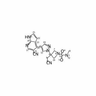 CN(C)S(=O)(=O)N1CC(CC#N)(n2cc(-c3c(C#N)cnc4[nH]ccc34)cn2)C1